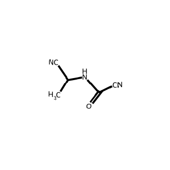 CC(C#N)NC(=O)C#N